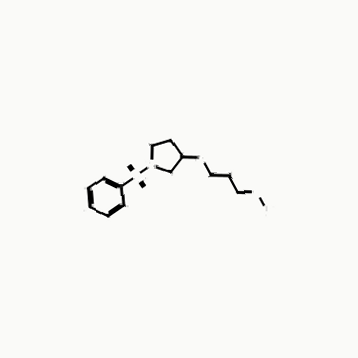 CC(C)OCCCNC1CCN(S(=O)(=O)c2ccccc2)C1